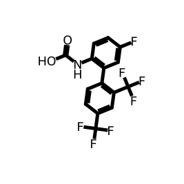 O=C(O)Nc1ccc(F)cc1-c1ccc(C(F)(F)F)cc1C(F)(F)F